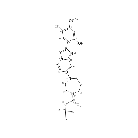 COc1cc(O)c(-c2cn3ccc(N4CCCN(C(=O)OC(C)(C)C)CC4)cc3n2)cc1Cl